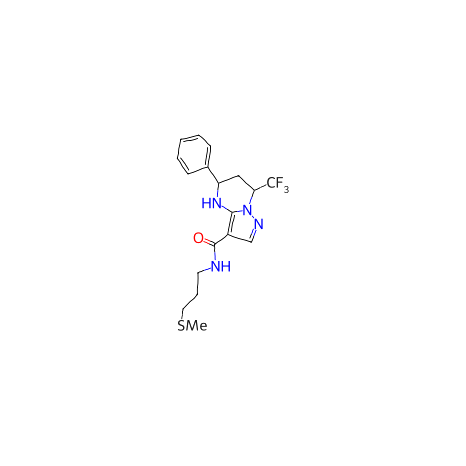 CSCCCNC(=O)c1cnn2c1NC(c1ccccc1)CC2C(F)(F)F